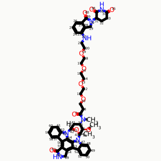 CO[C@@H]1[C@H](N(C)C(=O)CCOCCOCCOCCOCCNc2cccc3c2CN(C2CCC(=O)NC2=O)C3=O)C[C@H]2O[C@]1(C)n1c3ccccc3c3c4c(c5c6ccccc6n2c5c31)C(=O)NC4